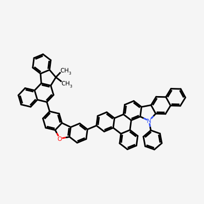 CC1(C)c2ccccc2-c2c1cc(-c1ccc3oc4ccc(-c5ccc6c(c5)c5ccccc5c5c6ccc6c7cc8ccccc8cc7n(-c7ccccc7)c65)cc4c3c1)c1ccccc21